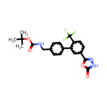 CC(C)(C)OC(=O)NCc1ccc(-c2cc(-c3n[nH]c(=O)o3)ccc2C(F)(F)F)cc1